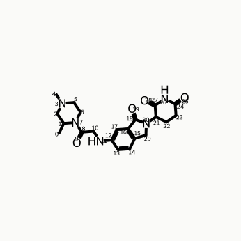 CC1CN(C)CCN1C(=O)CNc1ccc2c(c1)C(=O)N(C1CCC(=O)NC1=O)C2